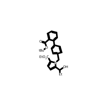 CCOC(=O)c1ccc(C(O)CC)n1Cc1ccc(-c2ccccc2C(=O)OC(C)(C)C)cc1